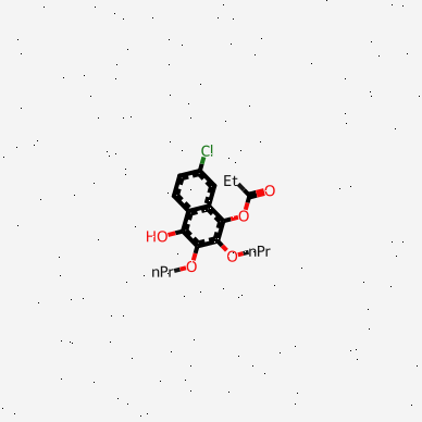 CCCOc1c(OCCC)c(OC(=O)CC)c2cc(Cl)ccc2c1O